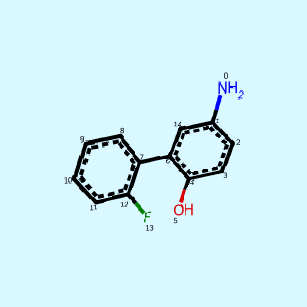 Nc1ccc(O)c(-c2ccccc2F)c1